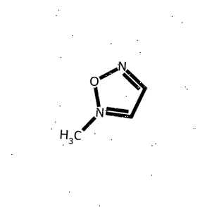 C[n+]1ccno1